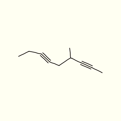 CC#C[C](C)CC#CCC